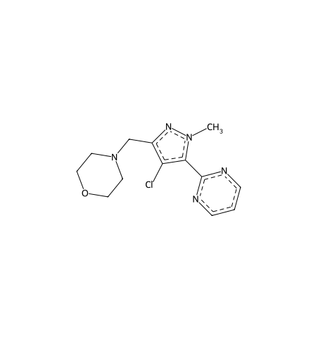 Cn1nc(CN2CCOCC2)c(Cl)c1-c1ncccn1